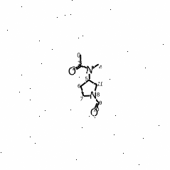 CC(=O)N(C)C1CCN(C=O)C1